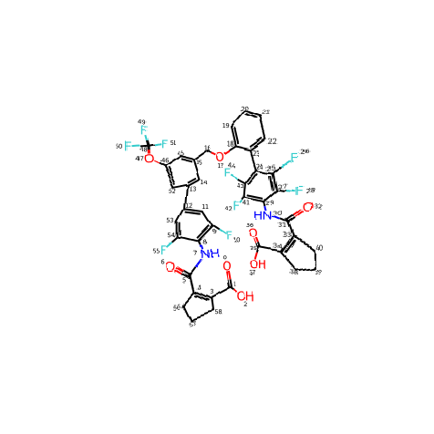 O=C(O)C1=C(C(=O)Nc2c(F)cc(-c3cc(COc4ccccc4-c4c(F)c(F)c(NC(=O)C5=C(C(=O)O)CCC5)c(F)c4F)cc(OC(F)(F)F)c3)cc2F)CCC1